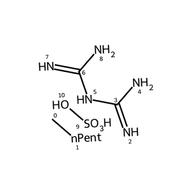 CCCCCC.N=C(N)NC(=N)N.O=S(=O)(O)O